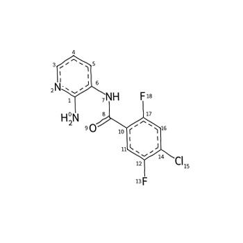 Nc1ncccc1NC(=O)c1cc(F)c(Cl)cc1F